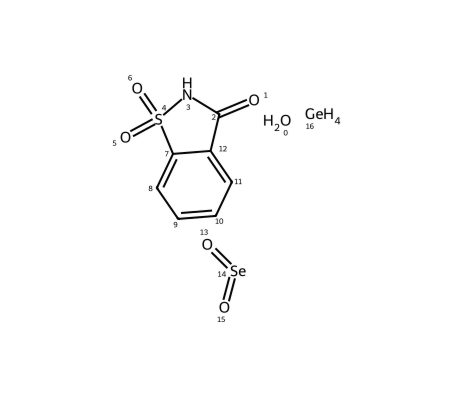 O.O=C1NS(=O)(=O)c2ccccc21.O=[Se]=O.[GeH4]